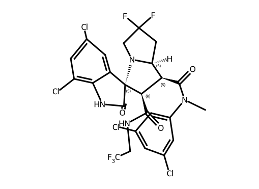 CN(C(=O)[C@H]1[C@@H](C(=O)NCC(F)(F)F)[C@]2(C(=O)Nc3c(Cl)cc(Cl)cc32)N2CC(F)(F)C[C@@H]12)c1cc(Cl)cc(Cl)c1